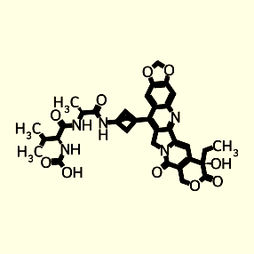 CC[C@@]1(O)C(=O)OCc2c1cc1n(c2=O)Cc2c-1nc1cc3c(cc1c2C12CC(NC(=O)[C@H](C)NC(=O)[C@@H](NC(=O)O)C(C)C)(C1)C2)OCO3